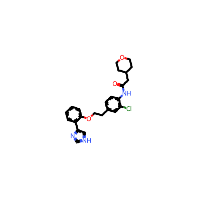 O=C(CC1CCOCC1)Nc1ccc(CCOc2ccccc2-c2c[nH]cn2)cc1Cl